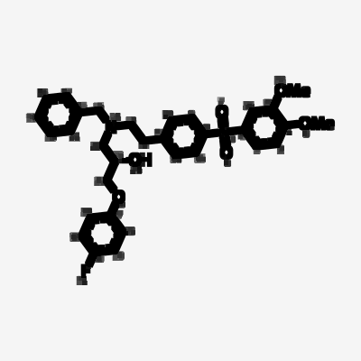 COc1ccc(S(=O)(=O)c2ccc(CCN(Cc3ccccc3)C[C@H](O)COc3ccc(F)cc3)cc2)cc1OC